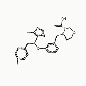 Cc1ccc(CC(Oc2cccc(CN3CCOC[C@H]3C(=O)O)c2)c2ncoc2C)cc1